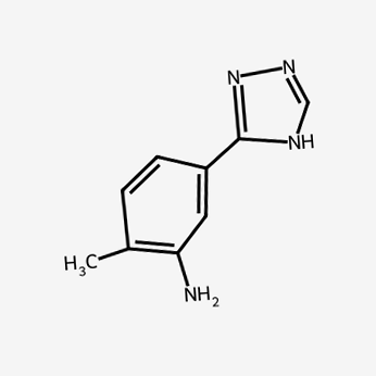 Cc1ccc(-c2nnc[nH]2)cc1N